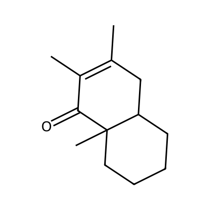 CC1=C(C)C(=O)C2(C)CCCCC2C1